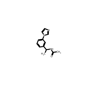 CC(=O)NC(C)c1cccc(-n2ccnc2)c1